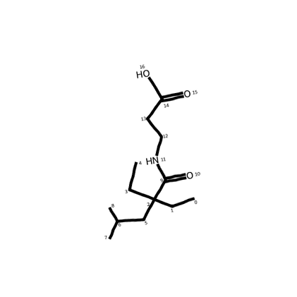 CCC(CC)(CC(C)C)C(=O)NCCC(=O)O